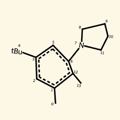 Cc1cc(C(C)(C)C)cc(N2CCCC2)c1C